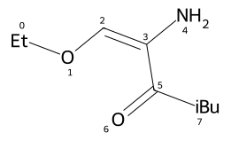 CCO/C=C(/N)C(=O)C(C)CC